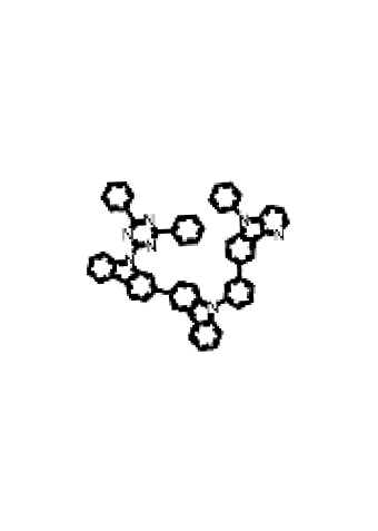 c1ccc(-c2nc(-c3ccccc3)nc(-n3c4ccccc4c4ccc(-c5ccc6c(c5)c5ccccc5n6-c5cccc(-c6ccc7c(c6)c6ncccc6n7-c6ccccc6)c5)cc43)n2)cc1